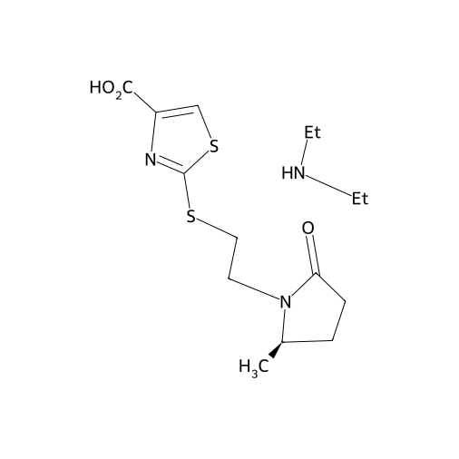 CCNCC.C[C@@H]1CCC(=O)N1CCSc1nc(C(=O)O)cs1